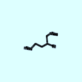 [CH2]CCCCCCCCCCC(CC)CCCCCCCCC[CH2]